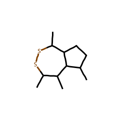 CC1CCC2C(C)SSC(C)C(C)C12